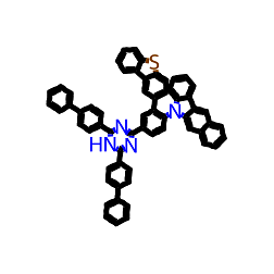 c1ccc(-c2ccc(C3=NC(c4ccc(-n5c6ccccc6c6cc7ccccc7cc65)c(-c5ccc6sc7ccccc7c6c5)c4)=NC(c4ccc(-c5ccccc5)cc4)N3)cc2)cc1